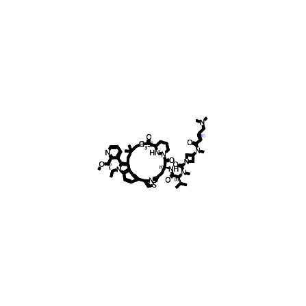 CCn1c(-c2cccnc2[C@H](C)OC)c2c3cc(ccc31)-c1csc(n1)C[C@H](NC(=O)[C@H](C(C)C)N(C)C(=O)N1CC(N(C)C(=O)/C=C/CN(C)C)C1)C(=O)N1CCC[C@@]([SiH3])(N1)C(=O)OCC(C)(C)C2